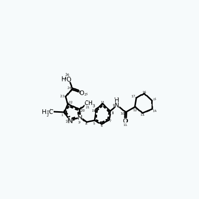 Cc1nn(Cc2ccc(NC(=O)C3CCCCC3)cc2)c(C)c1CC(=O)O